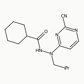 CC(C)CN(NC(=O)C1CCCCC1)c1ccnc(C#N)n1